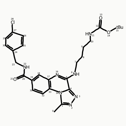 Cc1nnc2c(NCCCCNC(=O)OC(C)(C)C)nc3cc(C(=O)NCc4ccc(Cl)cc4)ccc3n12